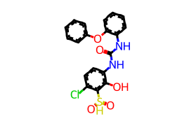 O=C(Nc1ccccc1Oc1ccccc1)Nc1ccc(Cl)c([SH](=O)=O)c1O